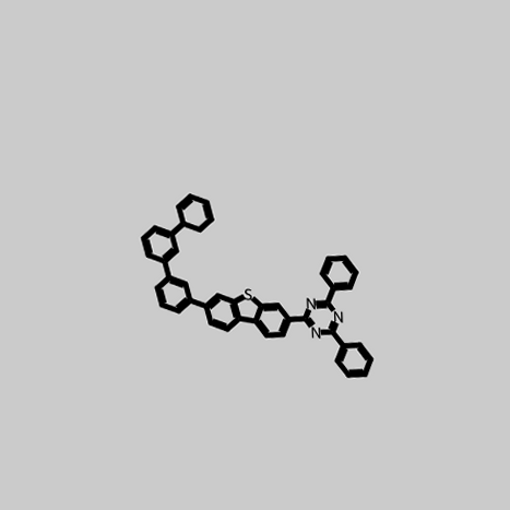 C1=CCC(c2cccc(-c3cccc(-c4ccc5c(c4)sc4cc(-c6nc(-c7ccccc7)nc(-c7ccccc7)n6)ccc45)c3)c2)C=C1